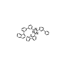 c1ccc(-c2cccc(-c3nc(-c4cccc(-c5cccc(-c6cccc7ccccc67)c5)c4)nc(-c4cccc5c4sc4ccccc45)n3)c2)cc1